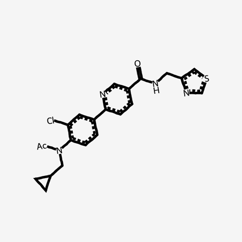 CC(=O)N(CC1CC1)c1ccc(-c2ccc(C(=O)NCc3cscn3)cn2)cc1Cl